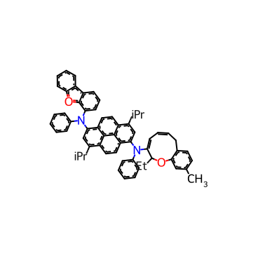 CCC1Oc2cc(C)ccc2C/C=C\C=C/1N(c1ccccc1)c1cc(C(C)C)c2ccc3c(N(c4ccccc4)c4cccc5c4oc4ccccc45)cc(C(C)C)c4ccc1c2c43